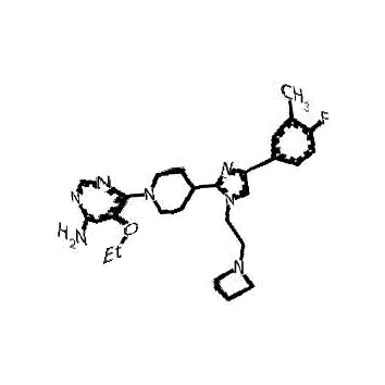 CCOc1c(N)ncnc1N1CCC(c2nc(-c3ccc(F)c(C)c3)cn2CCN2CCC2)CC1